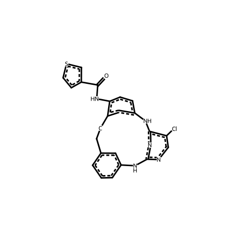 O=C(Nc1ccc2cc1CCc1cccc(c1)Nc1ncc(Cl)c(n1)N2)c1ccsc1